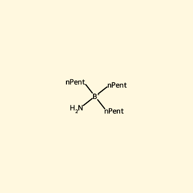 CCCCC[B-](N)(CCCCC)CCCCC